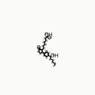 CCCCCC(O)c1ccc(C2CCC(=O)C2CCCCCCC(=O)O)cc1